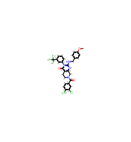 COc1ccc(CNc2nc3c(c(=O)n2-c2cccc(C(F)(F)F)c2)CCN(C(=O)c2ccc(Cl)c(Cl)c2)C3)cc1